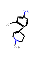 Nc1ccc(C2=CCN(C(=O)O)CC2)c([N+](=O)[O-])c1